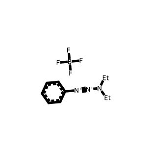 CCN(CC)[N+]#[N+]c1ccccc1.F[B-](F)(F)F